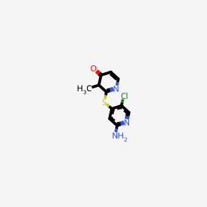 CC1C(=O)C=CN=C1Sc1cc(N)ncc1Cl